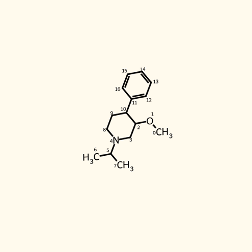 COC1CN(C(C)C)CCC1c1ccccc1